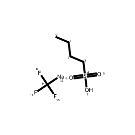 CCCCS(=O)(=O)O.F[C](F)(F)[Na]